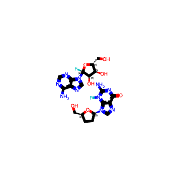 Nc1nc(=O)c2ncn([C@H]3CC[C@@H](CO)O3)c2n1F.Nc1ncnc2c1ncn2[C@]1(F)O[C@H](CO)[C@@H](O)[C@H]1O